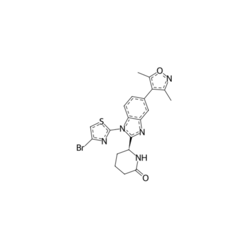 Cc1noc(C)c1-c1ccc2c(c1)nc([C@@H]1CCCC(=O)N1)n2-c1nc(Br)cs1